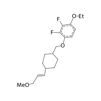 CCOc1ccc(OCC2CCC(/C=C/COC)CC2)c(F)c1F